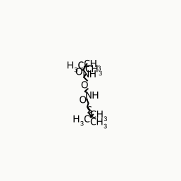 CC(C)(C)CSCCC(=O)NCCOCCNC(=O)C(C)(C)C